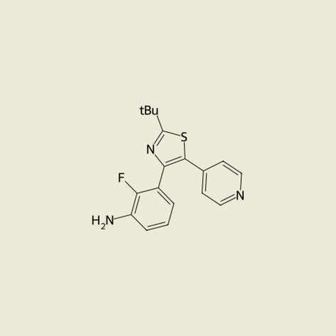 CC(C)(C)c1nc(-c2cccc(N)c2F)c(-c2ccncc2)s1